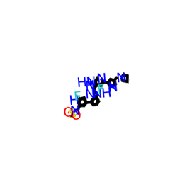 CS(=O)(=O)NCc1cc(F)cc(-c2cccc3[nH]c(-c4n[nH]c5cnc(-c6cncc(CN7CCCC7)c6)c(F)c45)nc23)c1